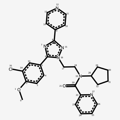 COc1ccc(-c2nc(-c3ccncc3)nn2CCN(C(=O)c2ccccn2)C2CCCC2)cc1Cl